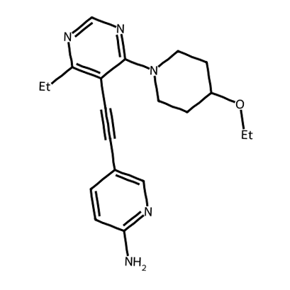 CCOC1CCN(c2ncnc(CC)c2C#Cc2ccc(N)nc2)CC1